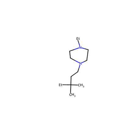 CCN1CCN(CCC(C)(C)CC)CC1